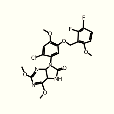 COC1=NC2C(NC(=O)N2c2cc(OCc3c(OC)ccc(F)c3F)c(OC)cc2Cl)C(OC)=N1